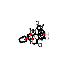 CN1C(=O)Cc2cc(Nc3nc(N(C)C4CC5CCC(C4)N5c4ccc5c(C6CCC(=O)NC6=O)nn(C)c5c4)ncc3Cl)ccc21